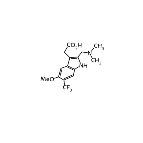 COc1cc2c(CC(=O)O)c(CN(C)C)[nH]c2cc1C(F)(F)F